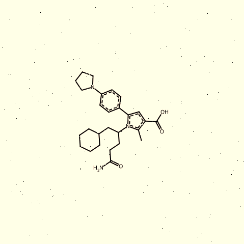 Cc1c(C(=O)O)cc(-c2ccc(N3CCCC3)cc2)n1C(CCC(N)=O)CC1CCCCC1